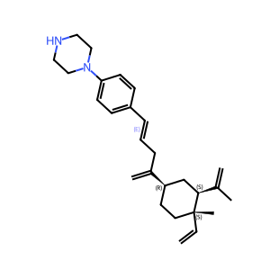 C=C[C@]1(C)CC[C@@H](C(=C)C/C=C/c2ccc(N3CCNCC3)cc2)C[C@H]1C(=C)C